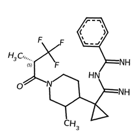 CC1CN(C(=O)[C@H](C)C(F)(F)F)CCC1C1(C(=N)NC(=N)c2ccccc2)CC1